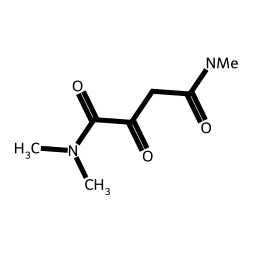 CNC(=O)CC(=O)C(=O)N(C)C